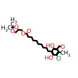 Cc1c(Cl)c(O)c(CCCCCCCCCC(=O)OCC2COC(C)(C)O2)c(O)c1C=O